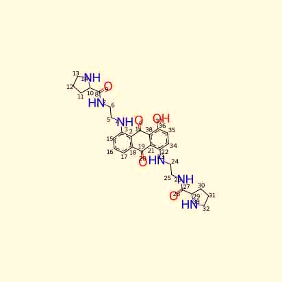 O=C1c2c(NCCNC(=O)C3CCCN3)cccc2C(=O)c2c(NCCNC(=O)C3CCCN3)ccc(O)c21